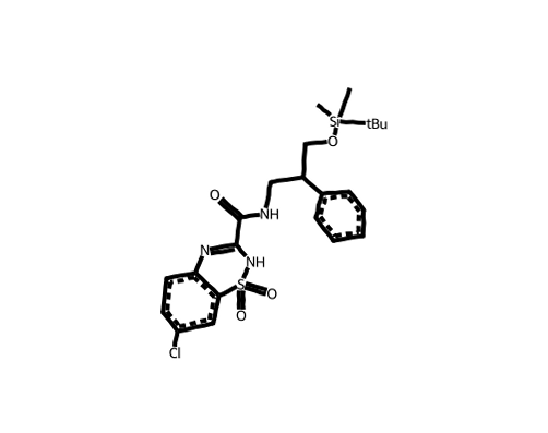 CC(C)(C)[Si](C)(C)OCC(CNC(=O)C1=Nc2ccc(Cl)cc2S(=O)(=O)N1)c1ccccc1